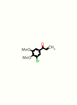 C=CC(=O)c1cc(Br)c(OC)c(OC)c1